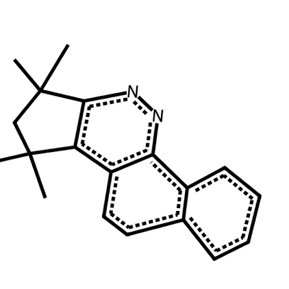 CC1(C)CC(C)(C)c2c1nnc1c2ccc2ccccc21